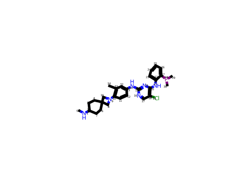 CNC1CCC2(CC1)CN(c1ccc(Nc3ncc(Cl)c(Nc4ccccc4P(C)C)n3)cc1C)C2